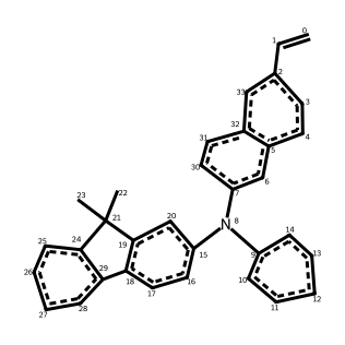 C=Cc1ccc2cc(N(c3ccccc3)c3ccc4c(c3)C(C)(C)c3ccccc3-4)ccc2c1